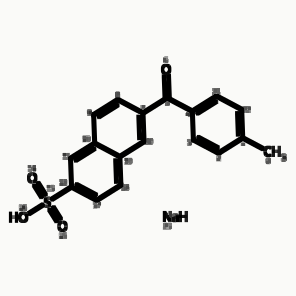 Cc1ccc(C(=O)c2ccc3cc(S(=O)(=O)O)ccc3c2)cc1.[NaH]